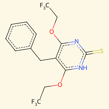 FC(F)(F)COc1nc(=S)[nH]c(OCC(F)(F)F)c1Cc1ccccc1